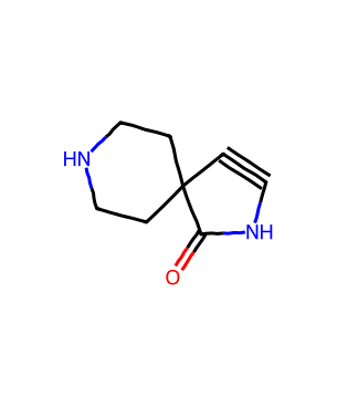 O=C1NC#CC12CCNCC2